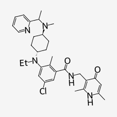 CCN(c1cc(Cl)cc(C(=O)NCc2c(C)[nH]c(C)cc2=O)c1C)[C@H]1CC[C@H](N(C)C(C)c2ccccn2)CC1